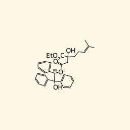 CCOC(=O)C(O)(CCC=C(C)C)CC(=O)O[C@H](c1ccccc1)C(O)(c1ccccc1)c1ccccc1